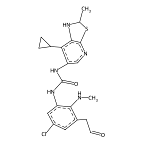 CNc1c(CC=O)cc(Cl)cc1NC(=O)Nc1cnc2c(c1C1CC1)NC(C)S2